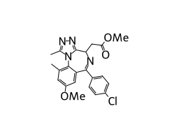 COC(=O)CC1N=C(c2ccc(Cl)cc2)c2cc(OC)cc(C)c2-n2c(C)nnc21